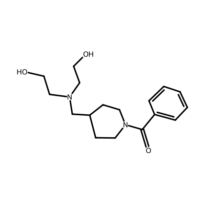 O=C(c1ccccc1)N1CCC(CN(CCO)CCO)CC1